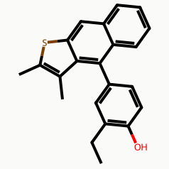 CCc1cc(-c2c3ccccc3cc3sc(C)c(C)c23)ccc1O